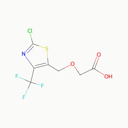 O=C(O)COCc1sc(Cl)nc1C(F)(F)F